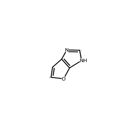 [c]1nc2c[c]oc2[nH]1